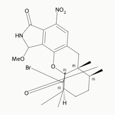 COC1NC(=O)c2c([N+](=O)[O-])cc3c(c21)O[C@@]12CC(Br)C(=O)C(C)(C)[C@@H]1CC[C@H](C)[C@@]2(C)C3